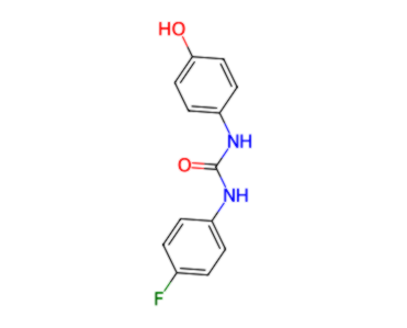 O=C(Nc1ccc(O)cc1)Nc1ccc(F)cc1